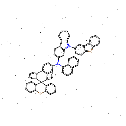 c1ccc2c(c1)Sc1ccccc1C21c2ccccc2-c2ccc(N(c3ccc4c5ccccc5n(-c5ccc6sc7ccccc7c6c5)c4c3)c3cccc4ccccc34)c3cccc1c23